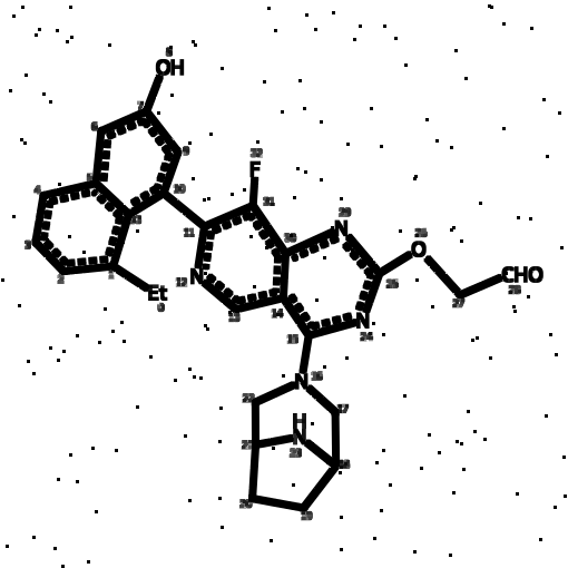 CCc1cccc2cc(O)cc(-c3ncc4c(N5CC6CCC(C5)N6)nc(OCC=O)nc4c3F)c12